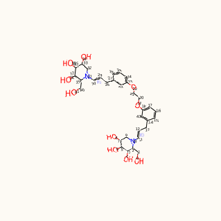 OCC1C(O)C(O)C(O)CN1/C=C/Cc1cccc(OCCOc2cccc(C/C=C/N3CC(O)C(O)C(O)C3CO)c2)c1